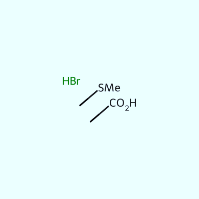 Br.CC(=O)O.CSC